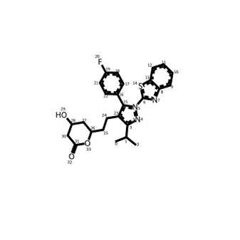 CC(C)c1nn(-c2nc3ccccc3s2)c(-c2ccc(F)cc2)c1CCC1CC(O)CC(=O)O1